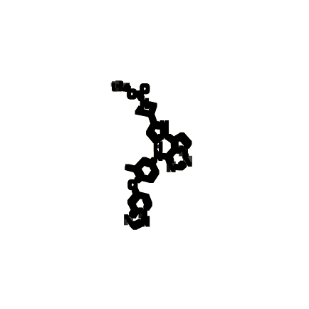 Cc1cc(Nc2ncnn3ccc(-n4ccc(C5CN(C(=O)OC(C)(C)C)C5)n4)c23)ccc1Oc1ccn2ncnc2c1